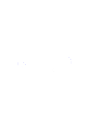 CC(c1cccc(N)c1)C1CCCN1